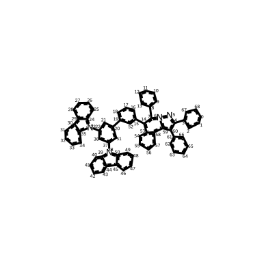 c1ccc(-c2nn3c(-c4ccccc4)c(-c4cccc(-c5cc(-n6c7ccccc7c7ccccc76)cc(-n6c7ccccc7c7ccccc76)c5)c4)c4ccccc4c3c2-c2ccccc2)cc1